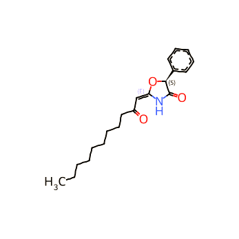 CCCCCCCCCC(=O)/C=C1\NC(=O)[C@H](c2ccccc2)O1